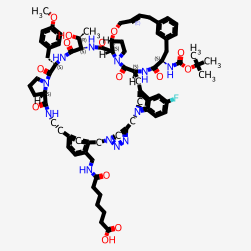 COc1ccc(C[C@@H]2NC(=O)[C@H]([C@@H](C)O)NC(=O)[C@@H]3[C@@H]4CCN3C(=O)[C@H](Cc3cn(c5ccc(F)cc35)Cc3cn(nn3)Cc3cc(ccc3CNC(=O)CCCCCC(=O)O)CCNC(=O)[C@@H]3CCCN3C2=O)NC(=O)[C@@H](NC(=O)OC(C)(C)C)Cc2cccc(c2)C/C=C/CO4)cc1